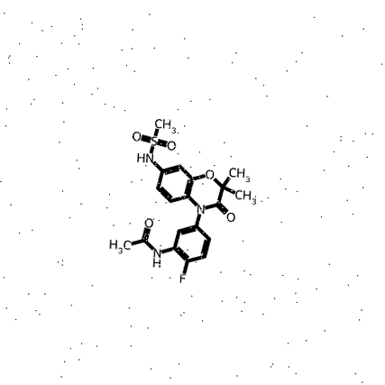 CC(=O)Nc1cc(N2C(=O)C(C)(C)Oc3cc(NS(C)(=O)=O)ccc32)ccc1F